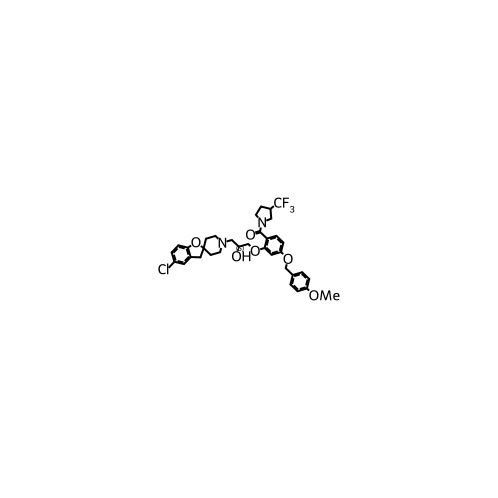 COc1ccc(COc2ccc(C(=O)N3CCC(C(F)(F)F)C3)c(OC[C@@H](O)CN3CCC4(CC3)Cc3cc(Cl)ccc3O4)c2)cc1